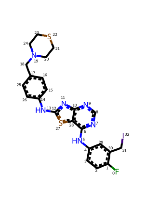 Fc1ccc(Nc2ncnc3nc(Nc4ccc(CN5CCSCC5)cc4)sc23)cc1CI